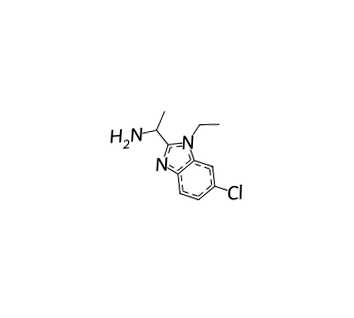 CCn1c(C(C)N)nc2ccc(Cl)cc21